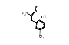 Cl.NC(Cc1cccc(C(F)(F)F)c1)=NO